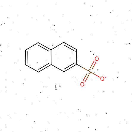 O=S(=O)([O-])c1ccc2ccccc2c1.[Li+]